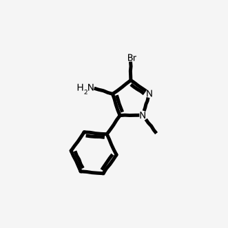 Cn1nc(Br)c(N)c1-c1ccccc1